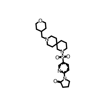 O=C1CCCN1c1ccc(S(=O)(=O)N2CCCC3(CCN(CC4CCOCC4)CC3)C2)cn1